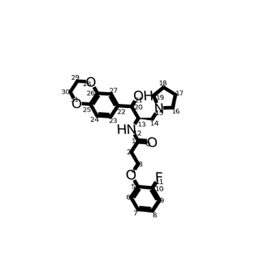 O=C(CCOc1ccccc1F)N[C@H](CN1CCCC1)C(O)c1ccc2c(c1)OCCO2